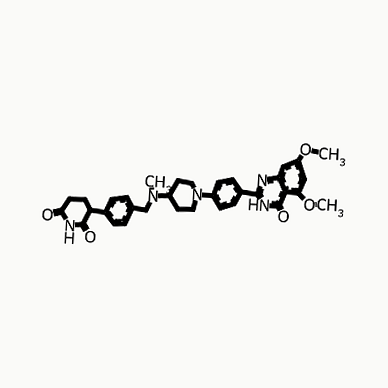 COc1cc(OC)c2c(=O)[nH]c(-c3ccc(N4CCC(N(C)Cc5ccc(C6CCC(=O)NC6=O)cc5)CC4)cc3)nc2c1